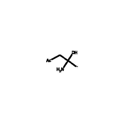 [CH2]C(N)(O)CC(C)=O